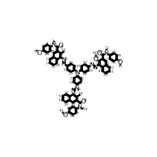 COc1ccc(N(C)C(=O)c2cc3ccccc3c(N=Nc3ccc(N(c4ccc(N=Nc5c(C)c(C(=O)N(C)c6ccc(OC)cc6)cc6ccccc56)cc4)c4ccc(N=Nc5c(OC)c(C(=O)N(C)c6ccc(OC)cc6)cc6ccccc56)cc4)cc3)c2C)cc1